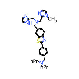 CCCN(CCC)Cc1ccc(-c2nc3ccc(CN(Cc4ncc[nH]4)Cc4nccn4C)cc3s2)cc1